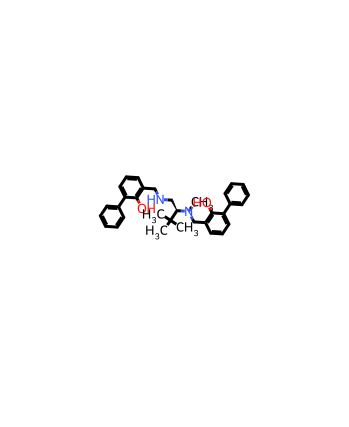 CN(Cc1cccc(-c2ccccc2)c1O)[C@H](CNCc1cccc(-c2ccccc2)c1O)C(C)(C)C